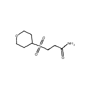 NC(=O)CCS(=O)(=O)C1CCOCC1